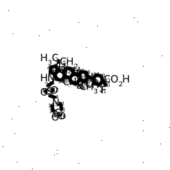 C=C(C)[C@@H]1CC[C@]2(NCCS(=O)(=O)CCN3CCS(=O)(=O)CC3)CC[C@]3(C)[C@H](CC[C@@H]4[C@@]5(C)CC=C(C6=CC[C@](CF)(C(=O)O)CC6)C(C)(C)[C@@H]5CC[C@]43C)[C@@H]12